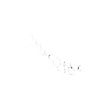 CCCCN(CCCC)CC(O)CNC(=O)OC1CC[C@@]2(C)C(CC[C@@H]3[C@H]2CC[C@]2(C)C(C(=O)O)CC[C@@]32N)C1